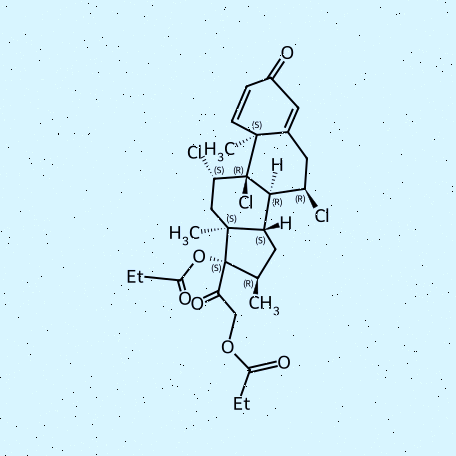 CCC(=O)OCC(=O)[C@]1(OC(=O)CC)[C@H](C)C[C@H]2[C@@H]3[C@H](Cl)CC4=CC(=O)C=C[C@]4(C)[C@@]3(Cl)[C@@H](Cl)C[C@@]21C